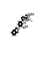 COC[C@@]1(C(N)=O)CC[C@H](c2ccc(OCc3ccccc3F)cc2)N1.Cl